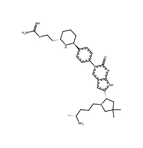 C[C@@H](N)CCCN1CC(C)(C)C[C@H]1c1cc2cn(-c3ccc([C@@H]4CCC[C@@H](CCSC(=N)N)N4)cc3)c(=O)nc2[nH]1